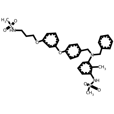 Cc1c(NS(C)(=O)=O)cccc1N(Cc1ccccc1)Cc1ccc(Oc2cccc(OCCCNS(C)(=O)=O)c2)cc1